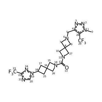 Cn1nnc(CN2CC3(C2)CN(C(=O)N2CC4(CC(n5cnc(C(F)(F)F)n5)C4)C2)C3)c1C(F)(F)F